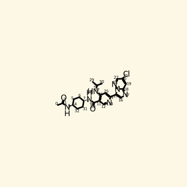 CC(=O)N[C@H]1CC[C@H](NC(=O)c2cnc(-c3cnc4cc(Cl)cnn34)cc2NC(C)C)CC1